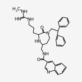 CNC(=N)NCCCC1NC(CNC(=O)c2cnc3ccccc3c2)CCN(CC(c2ccccc2)c2ccccc2)C1=O